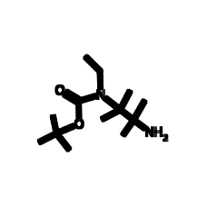 CCN(C(=O)OC(C)(C)C)C(C)(C)C(C)(C)N